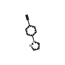 C#Cc1ccc(-n2cccn2)cc1